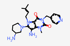 CC(C)=CCn1c(N2CCC[C@H](N)C2)c(N)c2c1c(=O)n(Cc1ccncc1)c(=O)n2C